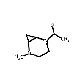 CC(S)N1CCN(C)C2CC21